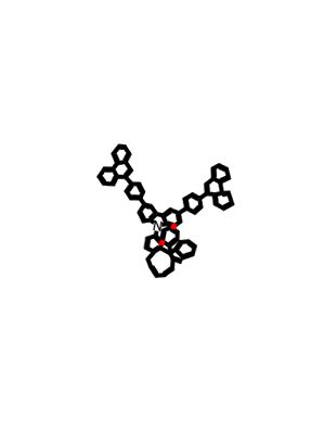 C=C1/C=C\C=C/Cc2ccc(-n3c4ccc(-c5ccc(-c6cc7ccccc7c7ccccc67)cc5)cc4c4cc(-c5ccc(-c6cc7ccccc7c7ccccc67)cc5)ccc43)cc2C1(c1ccccc1)c1ccccc1